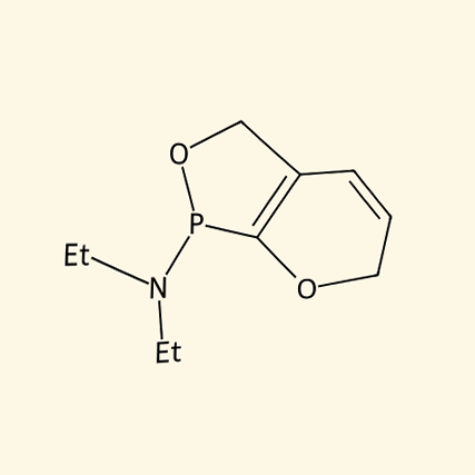 CCN(CC)P1OCC2=C1OCC=C2